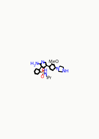 COc1cc(N2CCNCC2)ccc1-c1cnc(N)c(-c2ccccc2S(=O)(=O)NC(C)C)c1